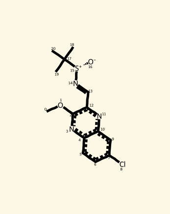 COc1nc2ccc(Cl)cc2nc1/C=N/[S@@+]([O-])C(C)(C)C